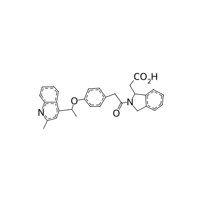 Cc1cc(C(C)Oc2ccc(CC(=O)N3Cc4ccccc4C3CC(=O)O)cc2)c2ccccc2n1